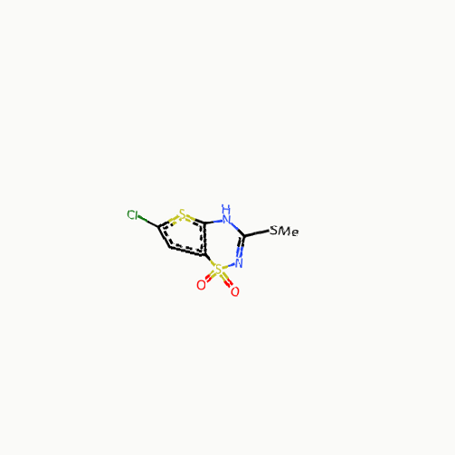 CSC1=NS(=O)(=O)c2cc(Cl)sc2N1